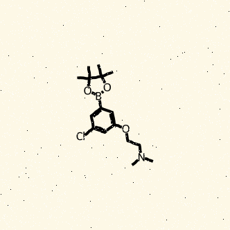 CN(C)CCOc1cc(Cl)cc(B2OC(C)(C)C(C)(C)O2)c1